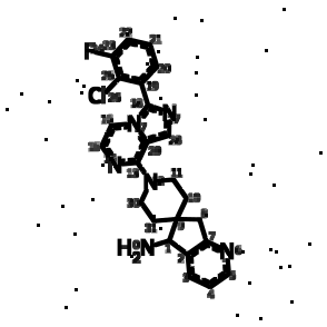 NC1c2cccnc2CC12CCN(c1nccn3c(-c4cccc(F)c4Cl)ncc13)CC2